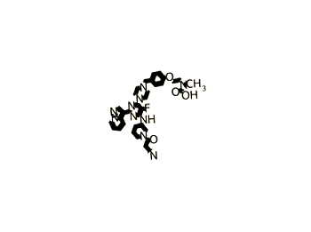 CN(CCOc1ccc(CN2CCN(c3nc(-c4cnn5ccccc45)nc(N[C@@H]4CCCN(C(=O)CC#N)C4)c3F)CC2)cc1)C(=O)O